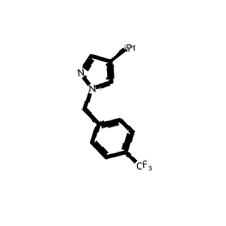 CC(C)c1cnn(Cc2ccc(C(F)(F)F)cc2)c1